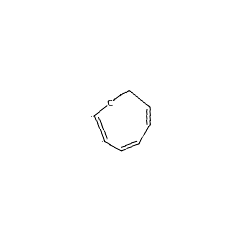 [C]1=[C]/CC\C=C/C=C\1